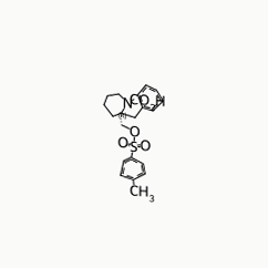 Cc1ccc(S(=O)(=O)OC[C@]2(Cc3ccccc3)CCCCN2C(=O)O)cc1